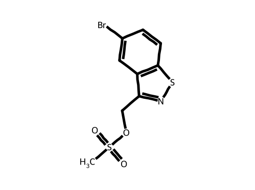 CS(=O)(=O)OCc1nsc2ccc(Br)cc12